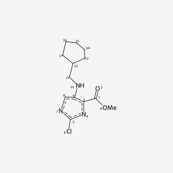 COC(=O)c1nc(Cl)ncc1NCC1CCCCC1